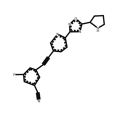 N#Cc1cc(F)cc(C#Cc2ccc(-c3noc(C4CCCN4)n3)nc2)c1